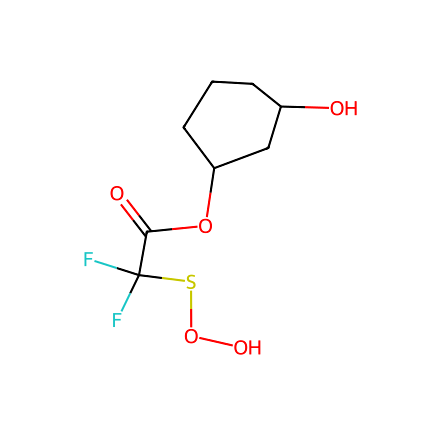 O=C(OC1CCCC(O)C1)C(F)(F)SOO